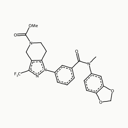 COC(=O)N1CCc2c(c(C(F)(F)F)nn2-c2cccc(C(=O)N(C)c3ccc4c(c3)OCO4)c2)C1